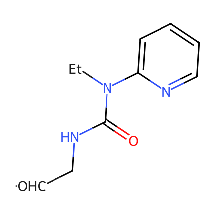 CCN(C(=O)NC[C]=O)c1ccccn1